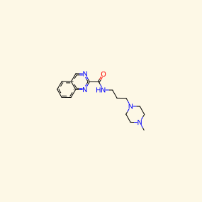 CN1CCN(CCCNC(=O)c2ncc3ccccc3n2)CC1